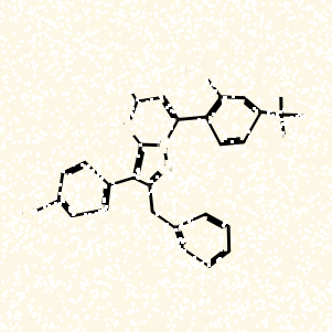 Oc1cc(C(F)(F)F)ccc1C1=CC(O)Nc2c(-c3ccc(Cl)cc3)c(Cc3ccccc3)nn21